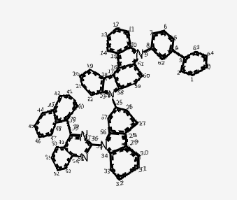 c1ccc(-c2cccc(-n3c4ccccc4c4c5c6ccccc6n(-c6ccc7c8ccccc8n(-c8nc(-c9cccc%10ccccc9%10)c9ccccc9n8)c7c6)c5ccc43)c2)cc1